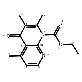 CCOC(=O)n1c(C)c(C)c(=O)c2c(C)ccnc21